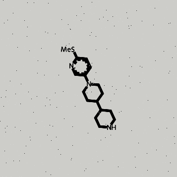 CSc1ccc(N2CCC(C3CCNCC3)CC2)cn1